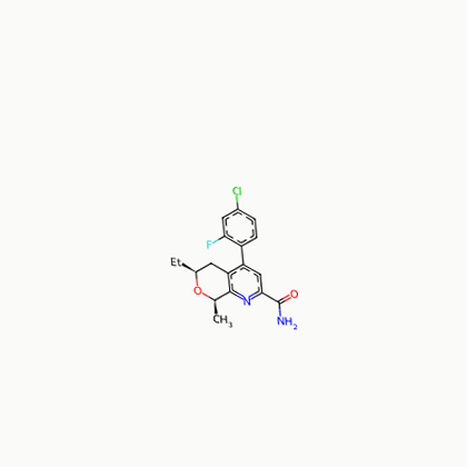 CC[C@H]1Cc2c(-c3ccc(Cl)cc3F)cc(C(N)=O)nc2[C@@H](C)O1